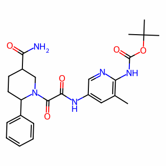 Cc1cc(NC(=O)C(=O)N2CC(C(N)=O)CCC2c2ccccc2)cnc1NC(=O)OC(C)(C)C